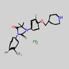 CC1(C)C(=O)N(c2ccc(C#N)c(C(F)(F)F)c2)C(=S)N1c1ccc(OCC2CCNCC2)c(F)c1.Cl